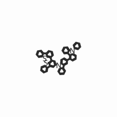 c1ccc(-n2c3ccccc3c3c(-c4ccc5c(c4)c4ccccc4n5-c4cc(-c5cccc6c5sc5ccccc56)c5sc6ccccc6c5c4)cccc32)cc1